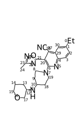 CCc1ccc2nc(N3CCC(N[C@@H]4CCCOC4)CC3)c(-c3nc(C)no3)c(C#N)c2c1